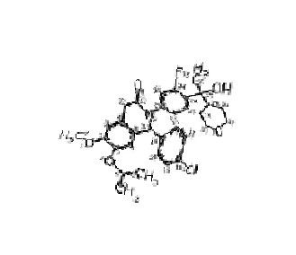 COc1cc2c(cc1OC(C)C)[C@H](c1ccc(Cl)cc1)N(c1ccc([C@](C)(O)C3CCOCC3)c(F)c1)C(=O)C2